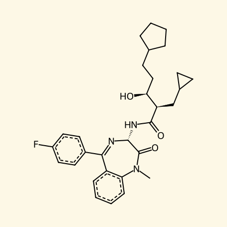 CN1C(=O)[C@@H](NC(=O)[C@H](CC2CC2)[C@@H](O)CCC2CCCC2)N=C(c2ccc(F)cc2)c2ccccc21